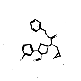 O=C[C@H]1CN([C@H](CC2CC2)C(=O)OCc2ccccc2)C[C@@H]1c1cccc(F)c1